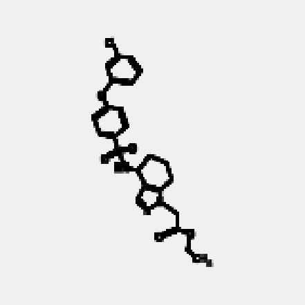 CCOC(=O)Cn1ncc2c1CCCC2NS(=O)(=O)c1ccc(Oc2cccc(Cl)c2)cc1